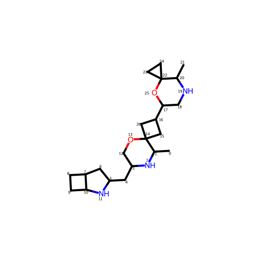 CC1NC(CC2CC3CCC3N2)COC12CC(C1CNC(C)C3(CC3)O1)C2